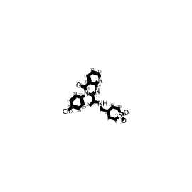 CC(NCC1CCS(=O)(=O)CC1)c1nc2ncccc2c(=O)n1-c1ccc(Cl)cc1